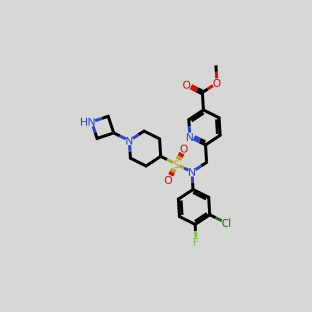 COC(=O)c1ccc(CN(c2ccc(F)c(Cl)c2)S(=O)(=O)C2CCN(C3CNC3)CC2)nc1